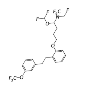 FCN(C(CCCOc1ccccc1CCc1cccc(OC(F)(F)F)c1)OC(F)F)C(F)(F)F